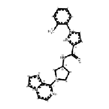 Cc1ccccc1-n1ccc(C(=O)N[C@H]2CCN(c3nccn4ccnc34)C2)n1